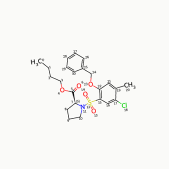 CCCCOC(=O)[C@@H]1CCCN1S(=O)(=O)c1cc(Cl)c(C)cc1OCc1ccccc1